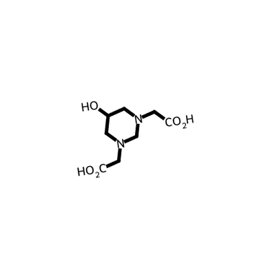 O=C(O)CN1CC(O)CN(CC(=O)O)C1